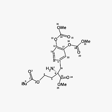 CCC(C)C(=O)OCC[C@@](N)(Cc1ccc(OC(=O)OC)c(OC(=O)OC)c1)C(=O)OC